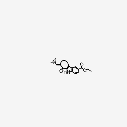 CCOC(=O)c1ccc2[nH]c3c(c2c1)CCCC(=CN(C)C)C3=O